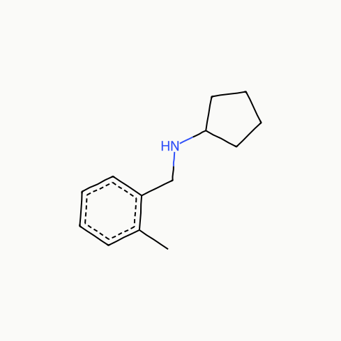 Cc1ccccc1CNC1CCCC1